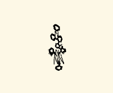 c1ccc(-c2nc(-c3ccccc3)nc(-c3cccc4sc5c(-c6cccc7c6c6ccccc6n7-c6ccccc6)cccc5c34)n2)cc1